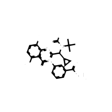 CC(C)(C)N(C(=O)O)C(c1nc2c(F)ccc(Cl)c2c(=O)n1-c1cccc(C(N)=O)c1)C1CC1